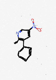 Cc1ncc([N+](=O)[O-])cc1-c1ccccc1